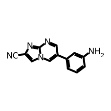 N#Cc1cn2cc(-c3cccc(N)c3)cnc2n1